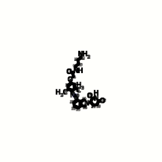 Cc1cc(OCC(=O)NCCCCN)cc(C)c1/N=N/c1cccc2c1CN(C1CCC(=O)NC1=O)C2